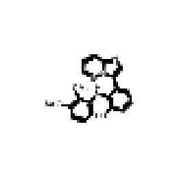 COc1cccc(Nc2c(O)cccc2-c2cnc3cccnn23)c1OC